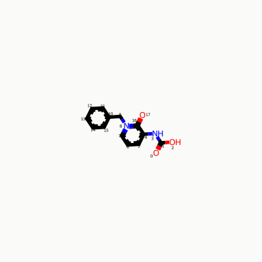 O=C(O)Nc1cccn(Cc2ccccc2)c1=O